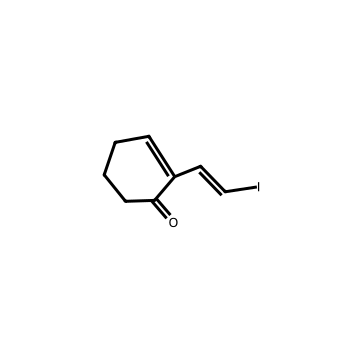 O=C1CCCC=C1C=CI